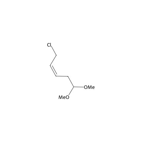 COC(C/C=C\CCl)OC